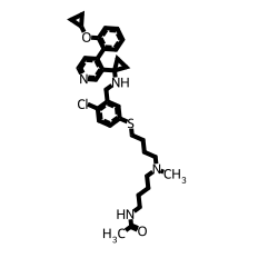 CC(=O)NCCCCN(C)CCCCSc1ccc(Cl)c(CNC2(c3cnccc3-c3ccccc3OC3CC3)CC2)c1